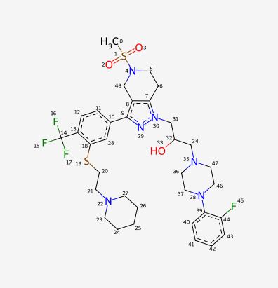 CS(=O)(=O)N1CCc2c(c(-c3ccc(C(F)(F)F)c(SCCN4CCCCC4)c3)nn2CC(O)CN2CCN(c3ccccc3F)CC2)C1